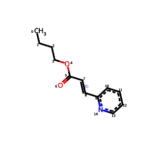 CCCCOC(=O)/C=C/c1ccccn1